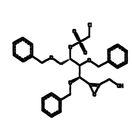 O=S(=O)(CCl)O[C@@H](COCc1ccccc1)C(OCc1ccccc1)[C@H](OCc1ccccc1)C1=C(CO)O1